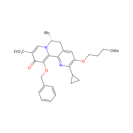 CCOC(=O)c1cn2c(c(OCc3ccccc3)c1=O)-c1nc(C3CC3)c(OCCCOC)cc1C[C@H]2C(C)(C)C